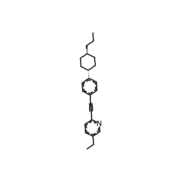 CCC[C@H]1CC[C@H](c2ccc(C#Cc3ccc(CC)cn3)cc2)CC1